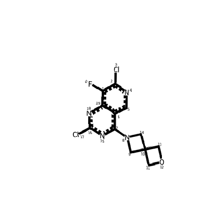 Fc1c(Cl)ncc2c(N3CC4(COC4)C3)nc(Cl)nc12